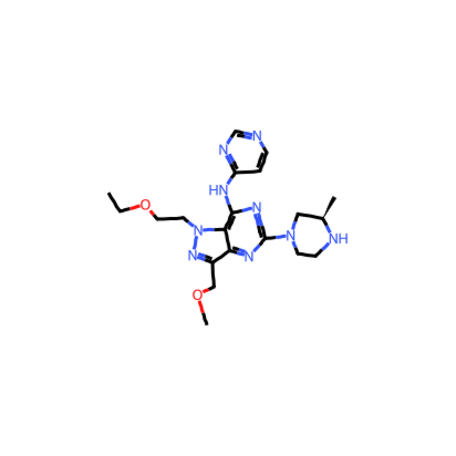 CCOCCn1nc(COC)c2nc(N3CCN[C@H](C)C3)nc(Nc3ccncn3)c21